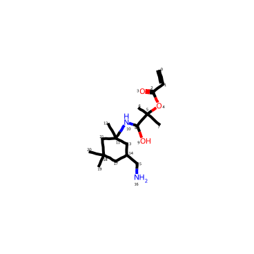 C=CC(=O)OC(C)(C)C(O)NC1(C)CC(CN)CC(C)(C)C1